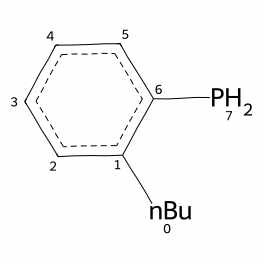 CCCCc1ccccc1P